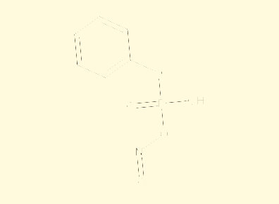 O=NOP(=O)(O)Oc1ccccc1